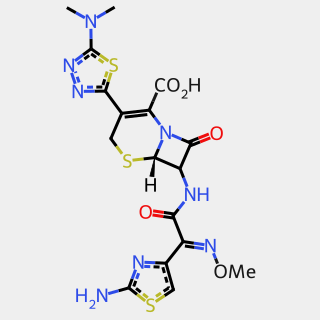 CON=C(C(=O)NC1C(=O)N2C(C(=O)O)=C(c3nnc(N(C)C)s3)CS[C@@H]12)c1csc(N)n1